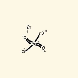 O=S(=O)(Cl)Cl.[Zn]